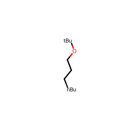 [CH2]C(C)(C)OCCCCCCC